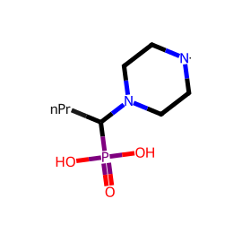 CCCC(N1CC[N]CC1)P(=O)(O)O